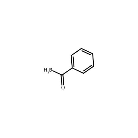 BC(=O)c1ccccc1